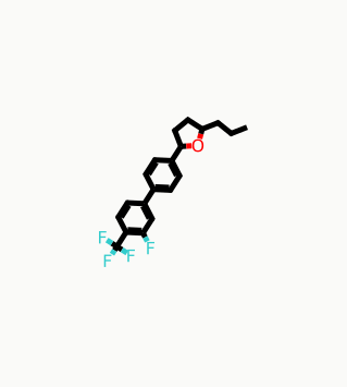 CCCC1CCC(c2ccc(-c3ccc(C(F)(F)F)c(F)c3)cc2)O1